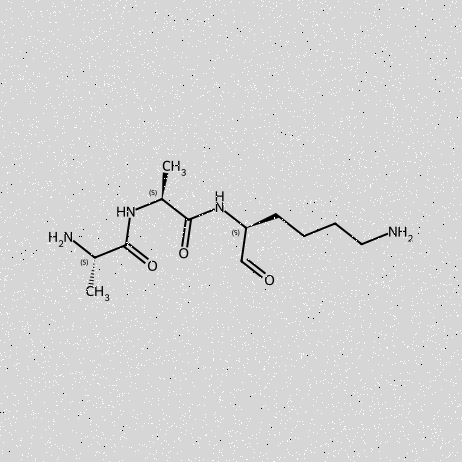 C[C@H](N)C(=O)N[C@@H](C)C(=O)N[C@H](C=O)CCCCN